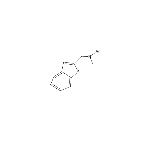 CC(=O)N(C)Cc1cc2ccccc2s1